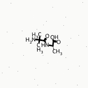 C[C@H](NC(=O)C(C)(C)N)C(=O)O